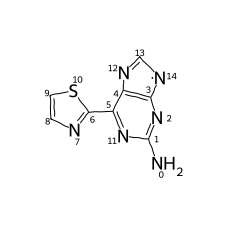 Nc1nc2c(c(-c3nccs3)n1)N=C[N]2